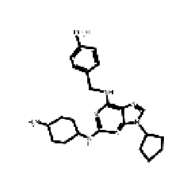 NC1CCC(Nc2nc(NCc3ccc(C(=O)O)cc3)c3ncn(C4CCCC4)c3n2)CC1